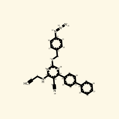 C#CCNc1nc(SCc2ccc(N=[N+]=[N-])cc2)nc(-c2ccc(-c3ccccc3)cc2)c1C#N